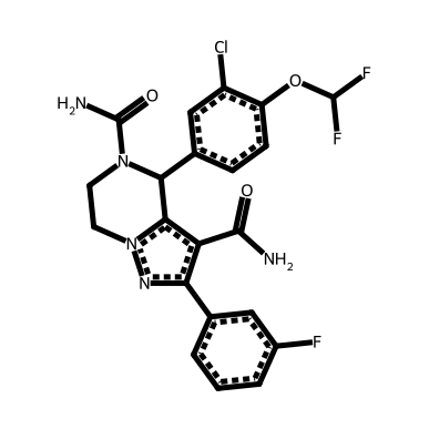 NC(=O)c1c(-c2cccc(F)c2)nn2c1C(c1ccc(OC(F)F)c(Cl)c1)N(C(N)=O)CC2